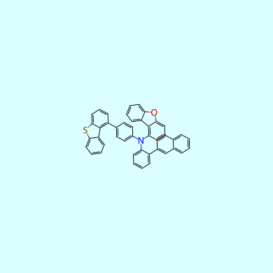 c1ccc(N(c2ccc(-c3cccc4sc5ccccc5c34)cc2)c2cccc3oc4ccccc4c23)c(-c2ccc3ccccc3c2)c1